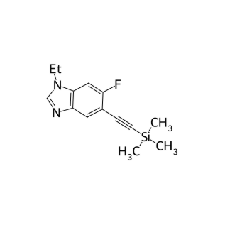 CCn1cnc2cc(C#C[Si](C)(C)C)c(F)cc21